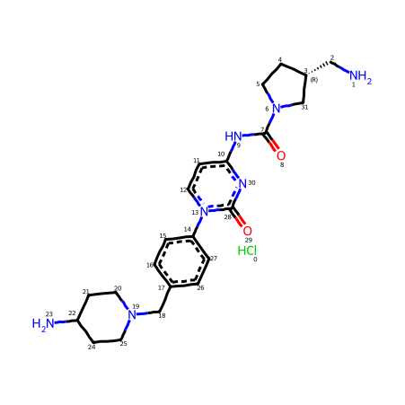 Cl.NC[C@H]1CCN(C(=O)Nc2ccn(-c3ccc(CN4CCC(N)CC4)cc3)c(=O)n2)C1